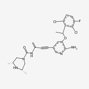 C=C(C#Cc1cnc(N)c(OC(C)c2c(Cl)ccc(F)c2Cl)c1)NC(=O)N1C[C@@H](C)N[C@@H](C)C1